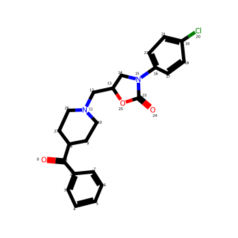 O=C(c1ccccc1)C1CCN(CC2CN(c3ccc(Cl)cc3)C(=O)O2)CC1